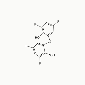 Oc1c(F)cc(F)cc1Sc1cc(F)cc(F)c1O